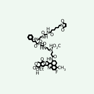 CC[C@@]1(O)C(=O)OCc2c1cc1n(c2=O)Cc2c-1nc1cc(F)c(C)c3c1c2[C@@H](NC(=O)CCN(CCNC(=O)CNC(=O)C(Cc1ccccc1)NC(=O)CNC(=O)CNC(=O)CCCCCN1C(=O)C=CC1=O)CC(=O)O)CC3